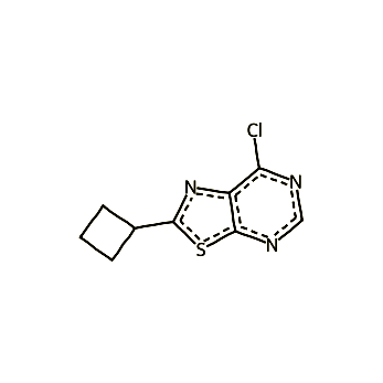 Clc1ncnc2sc(C3CCC3)nc12